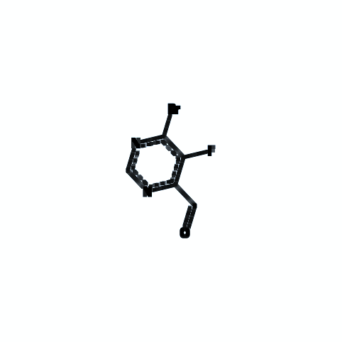 O=Cc1ncnc(Br)c1F